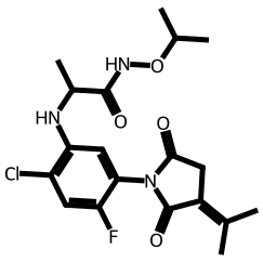 CC(C)=C1CC(=O)N(c2cc(NC(C)C(=O)NOC(C)C)c(Cl)cc2F)C1=O